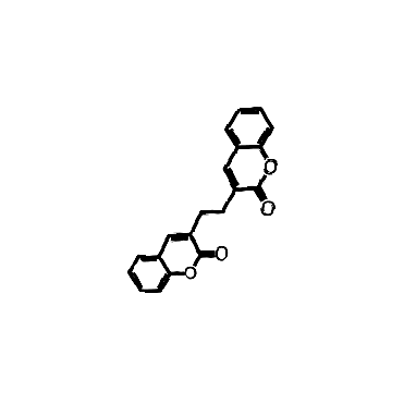 O=c1oc2ccccc2cc1CCc1cc2ccccc2oc1=O